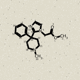 COC(=O)Cn1ccnc1C1(c2ccccc2)CCN(C)CC1